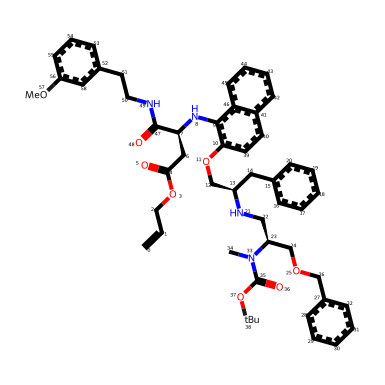 C=CCOC(=O)C[C@H](Nc1c(OC[C@@H](Cc2ccccc2)NC[C@@H](COCc2ccccc2)N(C)C(=O)OC(C)(C)C)ccc2ccccc12)C(=O)NCCc1cccc(OC)c1